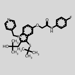 CC(C)(O)Cc1c(SC(C)(C)C)c2cc(OCC(=O)Nc3ccc(F)cc3)ccc2n1Cc1ccncc1